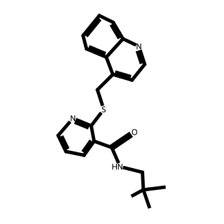 CC(C)(C)CNC(=O)c1cccnc1SCc1ccnc2ccccc12